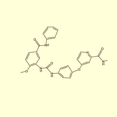 CNC(=O)c1cc(Oc2ccc(NC(=O)Nc3cc(C(=O)Nc4ccccc4)ccc3OC)cc2)ccn1